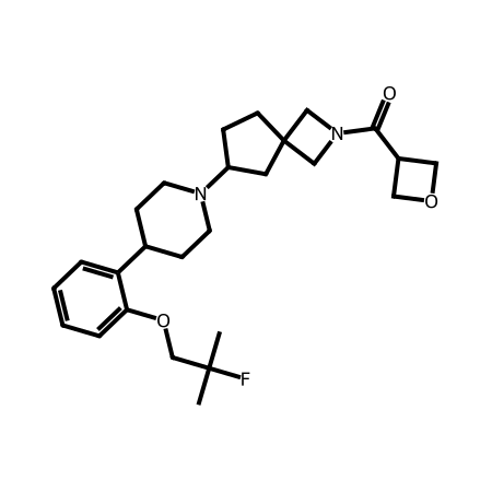 CC(C)(F)COc1ccccc1C1CCN(C2CCC3(C2)CN(C(=O)C2COC2)C3)CC1